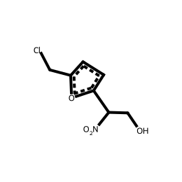 O=[N+]([O-])C(CO)c1ccc(CCl)o1